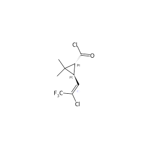 CC1(C)[C@H](/C=C(/Cl)C(F)(F)F)[C@H]1C(=O)Cl